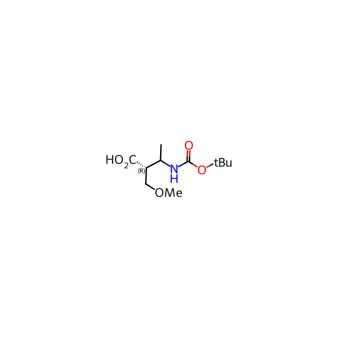 COC[C@H](C(=O)O)C(C)NC(=O)OC(C)(C)C